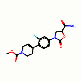 COC(=O)N1CC=C(c2ccc(N3CC(C(N)=O)OC3=O)cc2F)CC1